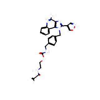 C=C(C)C(=O)NCCOC(=O)NCc1ccc(Cn2c(-c3cnoc3)nc3c(N)nc4ccccc4c32)cc1